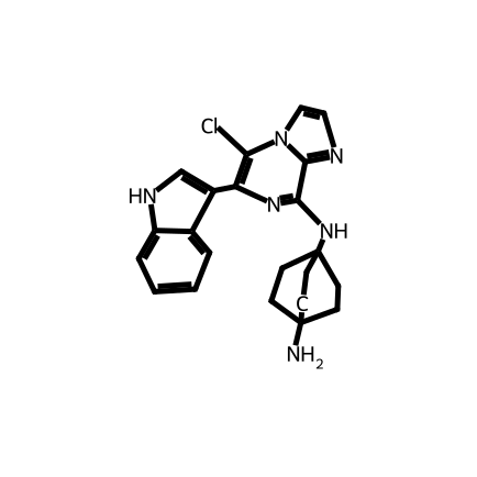 NC12CCC(Nc3nc(-c4c[nH]c5ccccc45)c(Cl)n4ccnc34)(CC1)CC2